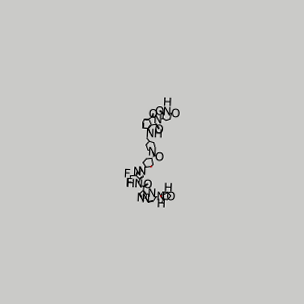 O=C1CCC(N2C(=O)c3cccc(NCC4CCN(C(=O)[C@H]5CC[C@H](n6cc(NC(=O)c7cnn8ccc(N9C[C@H]%10C[C@@H]9CO%10)nc78)c(C(F)F)n6)CC5)CC4)c3C2=O)C(=O)N1